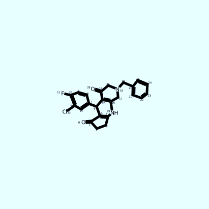 O=C1CCC2=C1C(c1ccc(F)c(Cl)c1)C1=C(CN(Cc3ccccc3)CC1=O)N2